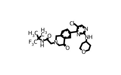 CC(C)(NC(=O)CN1CC(=O)c2cc(-c3nc(NC4CCOCC4)ncc3Cl)ccc2C1)C(F)(F)F